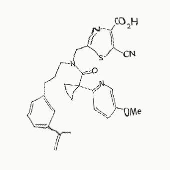 C=C(C)c1cccc(CCCN(Cc2nc(C(=O)O)c(C#N)s2)C(=O)C2(c3ccc(OC)cn3)CC2)c1